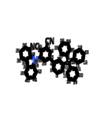 N#Cc1cc(-c2cccc([Si](c3ccccc3)(c3ccccc3)c3ccccc3)c2)cc(-n2c3ccccc3c3ccccc32)c1C#N